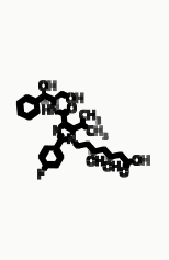 CC(C)c1c(C(=O)N[C@H](CO)[C@H](O)c2ccccc2)nc(-c2ccc(F)cc2)n1CC[C@@H](O)C[C@@H](O)CC(=O)O